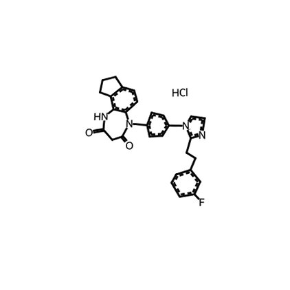 Cl.O=C1CC(=O)N(c2ccc(-n3ccnc3CCc3cccc(F)c3)cc2)c2ccc3c(c2N1)CCC3